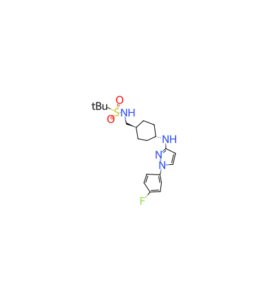 CC(C)(C)S(=O)(=O)NC[C@H]1CC[C@H](Nc2ccn(-c3ccc(F)cc3)n2)CC1